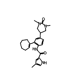 Cc1c[nH]c(C(=O)Nc2ccc(C3CN(C)C(=O)N(C)C3)cc2C2=CCCCCC2)c1